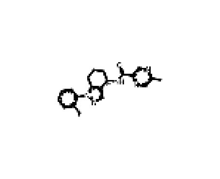 Cc1cnc(C(=O)N[C@@H]2CCCc3c2cnn3-c2ccccc2F)cn1